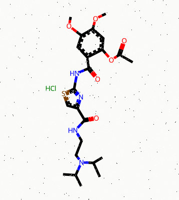 COc1cc(OC(C)=O)c(C(=O)Nc2nc(C(=O)NCCN(C(C)C)C(C)C)cs2)cc1OC.Cl